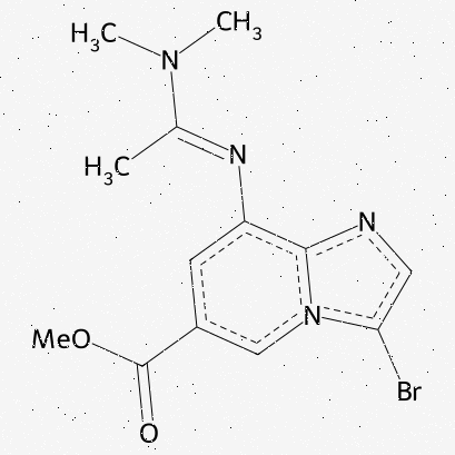 COC(=O)c1cc(/N=C(\C)N(C)C)c2ncc(Br)n2c1